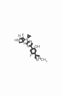 Cn1cc(-c2cc(O)c(-c3cnc(N(C4CC4)[C@@H]4[C@H]5CN[C@H](C5)[C@@H]4F)cn3)cc2F)cn1